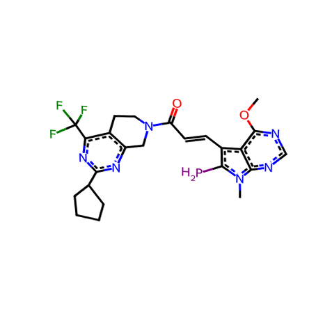 COc1ncnc2c1c(/C=C/C(=O)N1CCc3c(nc(C4CCCC4)nc3C(F)(F)F)C1)c(P)n2C